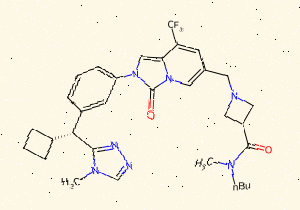 CCCCN(C)C(=O)C1CN(Cc2cc(C(F)(F)F)c3cn(-c4cccc([C@H](c5nncn5C)C5CCC5)c4)c(=O)n3c2)C1